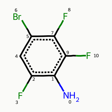 Nc1c(F)cc(Br)c(F)c1F